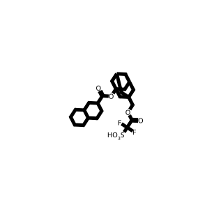 O=C(OC12CC3CC(CC(COC(=O)C(F)(F)S(=O)(=O)O)(C3)C1)C2)C1CCC2CCCCC2C1